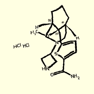 CO[C@]1(c2ccc(C(N)=O)s2)[C@@H]2CCC[C@H]1CN(C1CNC1)C2.Cl.Cl